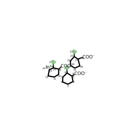 O=C([O-])C1CCCCC1Br.O=C([O-])C1CCCCC1Br.O=C([O-])C1CCCCC1Br.[In+3]